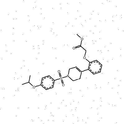 COC(=O)COc1ccccc1C1=CCN(S(=O)(=O)c2ccc(OC(C)C)cc2)CC1